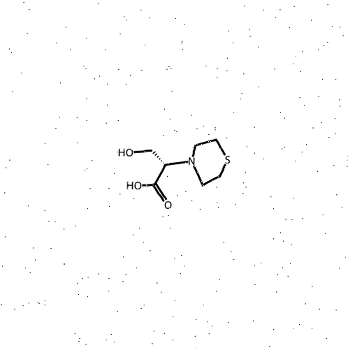 O=C(O)[C@H](CO)N1CCSCC1